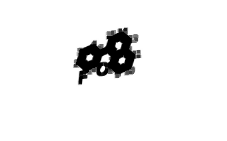 Fc1cccc2c1Oc1cccc3cccc-2c13